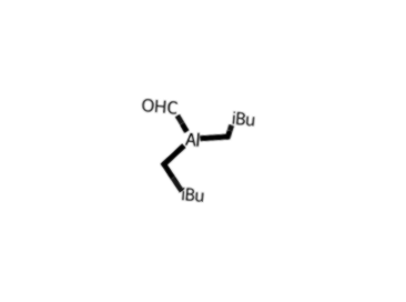 CCC(C)[CH2][Al]([CH]=O)[CH2]C(C)CC